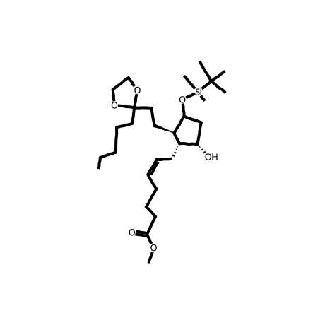 CCCCCC1(CC[C@H]2C(O[Si](C)(C)C(C)(C)C)C[C@H](O)[C@@H]2C/C=C\CCCC(=O)OC)OCCO1